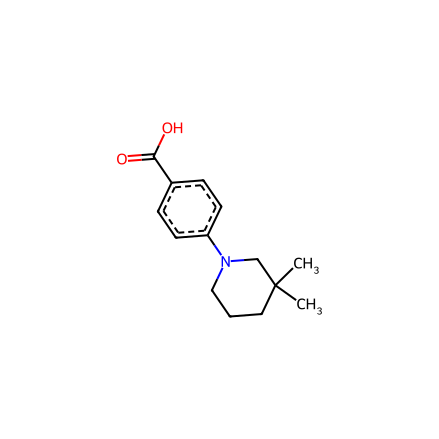 CC1(C)CCCN(c2ccc(C(=O)O)cc2)C1